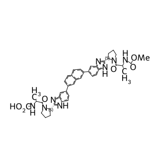 COC(=O)NC(C)C(=O)N1CCC[C@H]1c1nc2cc(-c3ccc4ccc(-c5ccc6[nH]c([C@@H]7CCCN7C(=O)C(C)NC(=O)O)nc6c5)cc4c3)ccc2[nH]1